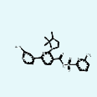 CC(C)COc1cc(-c2ccc(C(=O)NS(=O)(=O)c3cccc(N)n3)c(N3CCC(C)C3(C)C)n2)ccn1